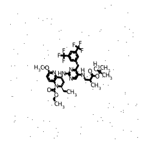 CCOC(=O)N1c2ccc(OC)nc2[C@@H](Nc2ncc(NCC(C)C(=O)OC(C)(C)C)c(Cc3cc(C(F)(F)F)cc(C(F)(F)F)c3)n2)C[C@H]1CC